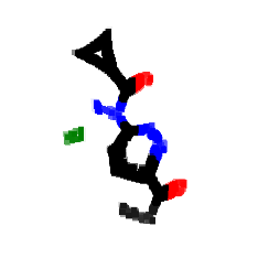 CNC(=O)c1ccc(NC(=O)C2CC2)nn1.Cl